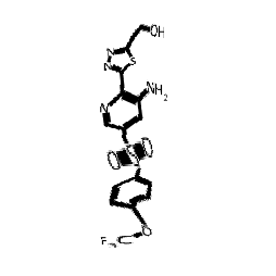 Nc1cc(S(=O)(=O)c2ccc(OC(F)(F)F)cc2)cnc1-c1nnc(CO)s1